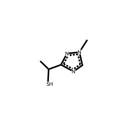 [CH2]C(S)c1ncn(C)n1